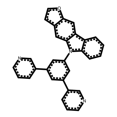 c1cncc(-c2cc(-c3cccnc3)cc(-n3c4ccccc4c4cc5occc5cc43)c2)c1